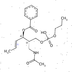 C/C=C/[C@@H](OC(=O)c1ccccc1)[C@@H](CNC(C)=O)COP(=O)(O)OCCC